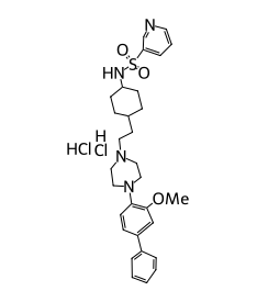 COc1cc(-c2ccccc2)ccc1N1CCN(CCC2CCC(NS(=O)(=O)c3cccnc3)CC2)CC1.Cl.Cl